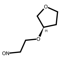 O=NCCO[C@@H]1CCOC1